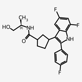 C[C@H](CO)NC(=O)C1CCC(c2c(-c3ccc(F)cc3)[nH]c3c(F)cc(F)cc23)C1